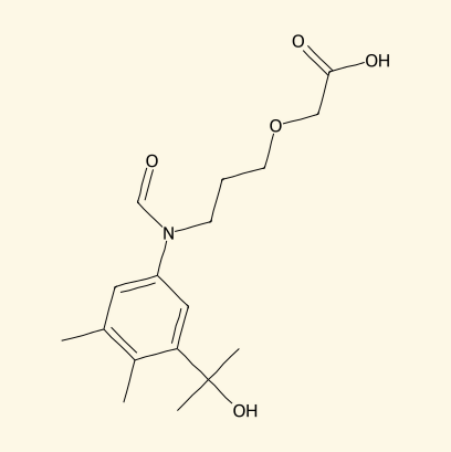 Cc1cc(N(C=O)CCCOCC(=O)O)cc(C(C)(C)O)c1C